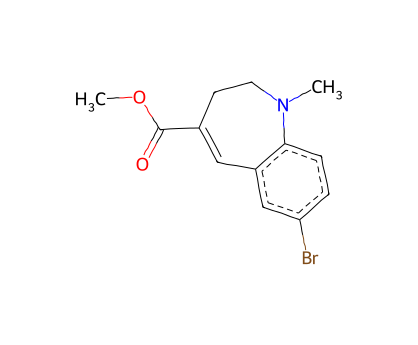 COC(=O)C1=Cc2cc(Br)ccc2N(C)CC1